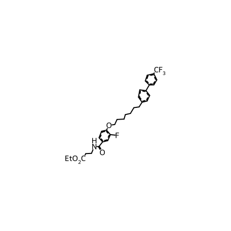 CCOC(=O)CCNC(=O)c1ccc(OCCCCCCCc2ccc(-c3ccc(C(F)(F)F)cc3)cc2)c(F)c1